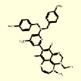 COc1ccc(CN(Cc2ccc(OC)cc2)c2cc(C)cc(-c3c(F)c4c5c(c3Cl)=NCN(CC#N)C=5N(C)C=CO4)n2)cc1